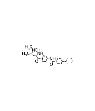 CC(CC(=N)C(=O)c1ccc(NC(=O)c2ccc(C3CCCCC3)cc2)cc1)N(C)C